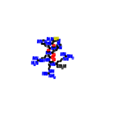 N=C(N)NCCC[C@H](NC(=O)[C@H](CCCNC(=N)N)NC(=O)[C@H](CCCNC(=N)N)NC(=O)[C@H](Cc1c[nH]cn1)NC(=O)[C@H](Cc1c[nH]cn1)NC(=O)[C@@H](N)CS)C(=O)O